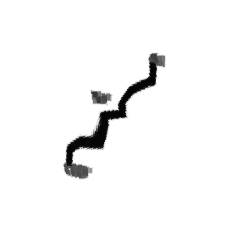 CC(=O)CCCCCCC(=O)[O-].[Na+]